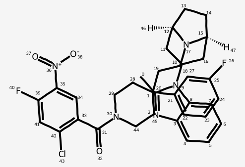 Cc1nc2ccccc2n1C1C[C@H]2CC[C@@H](C1)N2CCC1(c2cccc(F)c2)CCN(C(=O)c2cc([N+](=O)[O-])c(F)cc2Cl)CC1